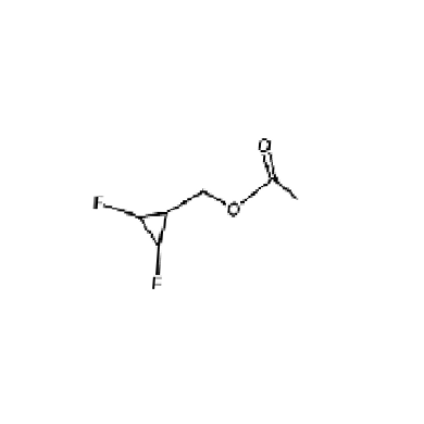 CC(=O)OCC1C(F)C1F